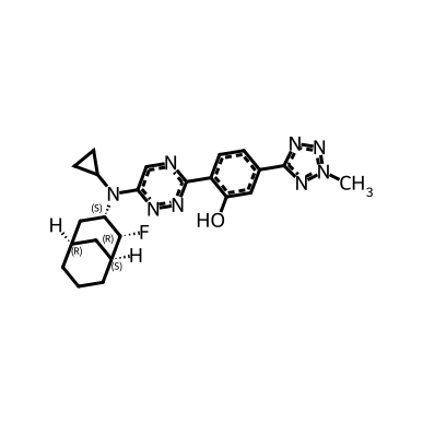 Cn1nnc(-c2ccc(-c3ncc(N(C4CC4)[C@H]4C[C@@H]5CCC[C@@H](C5)[C@H]4F)nn3)c(O)c2)n1